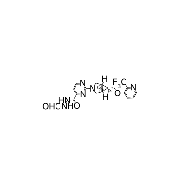 O=CNNC(=O)c1ccnc(N2C[C@@H]3[C@H](COc4cccnc4C(F)(F)F)[C@@H]3C2)n1